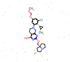 COCOc1cc(Cl)c([C@@H]2C[C@@H]2C)c(N2CCc3c(O)nc(OC[C@@]45CCCN4C[C@H](F)C5)nc3C2)c1